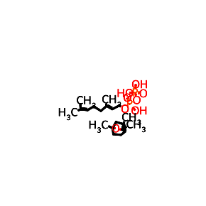 CC(C)=CCC/C(C)=C/COP(=O)(O)OP(=O)(O)O.CC12CCC(CC1)C(C)(C)O2